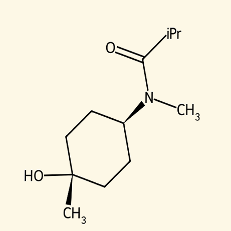 CC(C)C(=O)N(C)[C@H]1CC[C@](C)(O)CC1